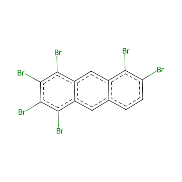 Brc1ccc2cc3c(Br)c(Br)c(Br)c(Br)c3cc2c1Br